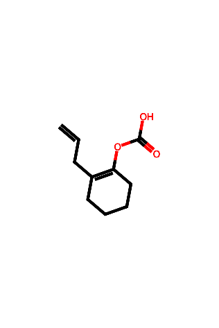 C=CCC1=C(OC(=O)O)CCCC1